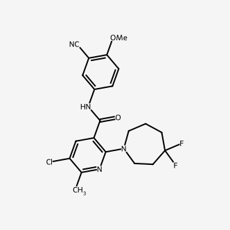 COc1ccc(NC(=O)c2cc(Cl)c(C)nc2N2CCCC(F)(F)CC2)cc1C#N